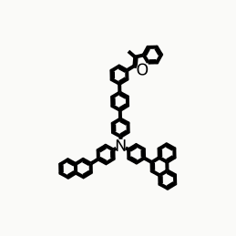 Cc1c(-c2cccc(-c3ccc(-c4ccc(N(c5ccc(-c6ccc7ccccc7c6)cc5)c5ccc(-c6cc7ccccc7c7ccccc67)cc5)cc4)cc3)c2)oc2ccccc12